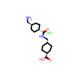 Cl.NC[C@H]1CC[C@H](C(=O)NC[C@H]2CC[C@H](C(=O)O)CC2)CC1